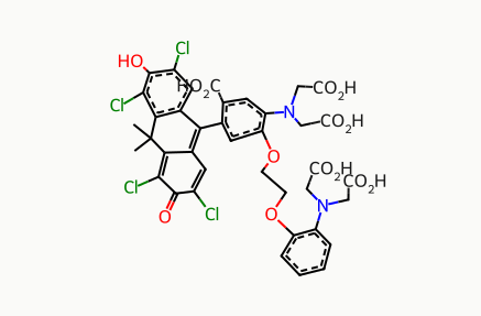 CC1(C)C2=C(Cl)C(=O)C(Cl)=CC2=C(c2cc(OCCOc3ccccc3N(CC(=O)O)CC(=O)O)c(N(CC(=O)O)CC(=O)O)cc2C(=O)O)c2cc(Cl)c(O)c(Cl)c21